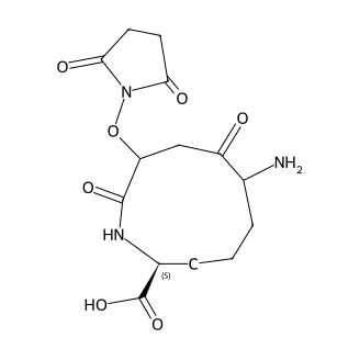 NC1CCC[C@@H](C(=O)O)NC(=O)C(ON2C(=O)CCC2=O)CC1=O